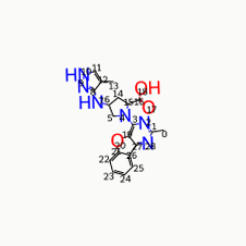 Cc1nc(N2CC(Nc3n[nH]cc3C)CC2C(=O)O)c2oc3ccccc3c2n1